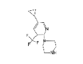 FC(F)(F)c1cc(C2CC2)cnc1N1CCNCC1